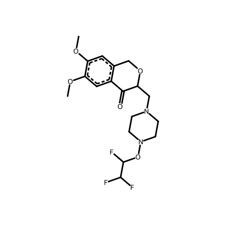 COc1cc2c(cc1OC)C(=O)C(CN1CCN(OC(F)C(F)F)CC1)OC2